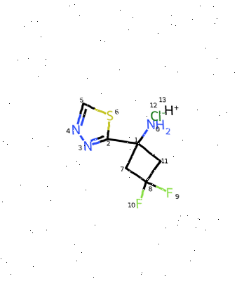 NC1(c2nncs2)CC(F)(F)C1.[Cl-].[H+]